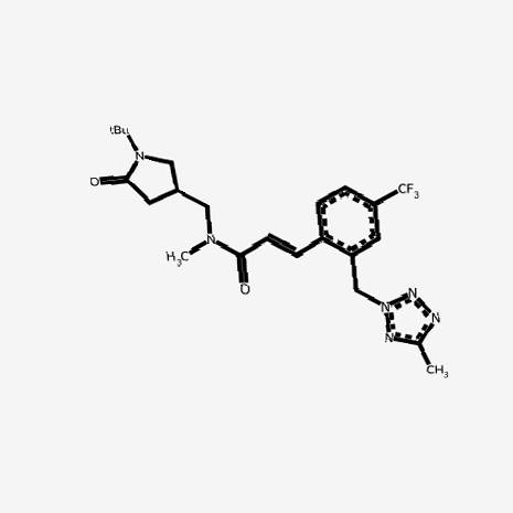 Cc1nnn(Cc2cc(C(F)(F)F)ccc2/C=C/C(=O)N(C)CC2CC(=O)N(C(C)(C)C)C2)n1